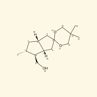 C[C@@H]1C[C@@H]2CC3(C[C@@H]2[C@H]1CO)OCC(C)(C)CO3